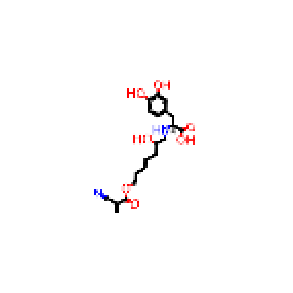 C=C(C#N)C(=O)OCCCCCC(O)CN[C@@H](Cc1ccc(O)c(O)c1)C(=O)O